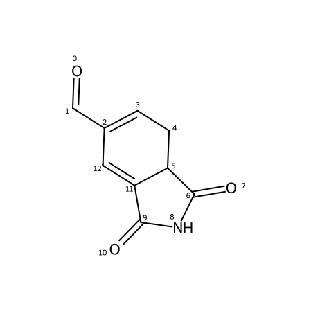 O=CC1=CCC2C(=O)NC(=O)C2=C1